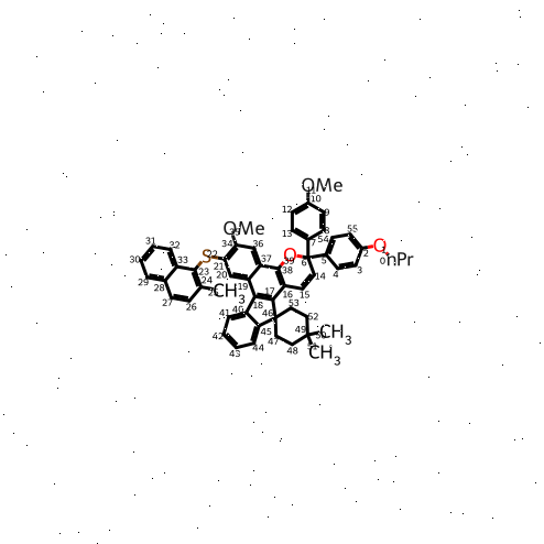 CCCOc1ccc(C2(c3ccc(OC)cc3)C=Cc3c4c(c5cc(Sc6c(C)ccc7ccccc67)c(OC)cc5c3O2)-c2ccccc2C42CCC(C)(C)CC2)cc1